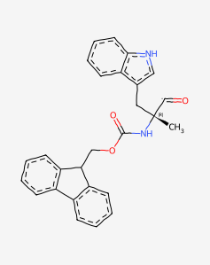 C[C@]([C]=O)(Cc1c[nH]c2ccccc12)NC(=O)OCC1c2ccccc2-c2ccccc21